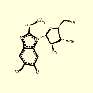 CNc1nc2cc(Cl)c(Cl)cc2n1[C@@H]1O[C@@H](CO)[C@H](O)[C@H]1O